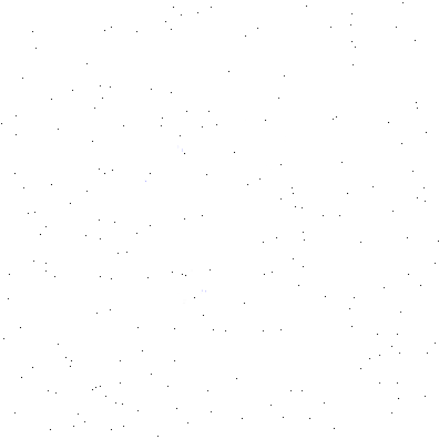 O=c1[nH]c2ccc(-c3cnc(CN4CCC(Cc5ccccc5)CC4)o3)cc2o1